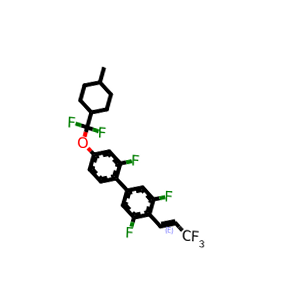 CC1CCC(C(F)(F)Oc2ccc(-c3cc(F)c(/C=C/C(F)(F)F)c(F)c3)c(F)c2)CC1